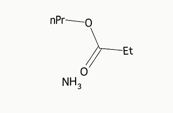 CCCOC(=O)CC.N